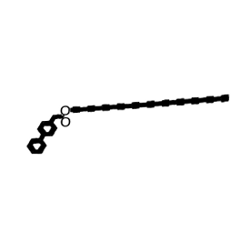 C#CC#CC#CC#CC#CC#CC#CC#CC#CC#CC#COC(=O)Cc1ccc(-c2ccccc2)cc1